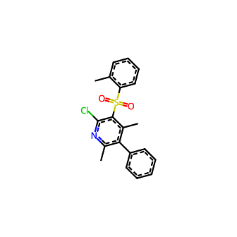 Cc1ccccc1S(=O)(=O)c1c(Cl)nc(C)c(-c2ccccc2)c1C